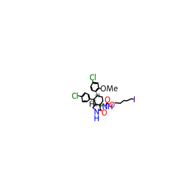 COc1cc(Cl)ccc1[C@@H]1CC[C@@]2(NC(=O)OCCCCCI)C(=O)NC[C@H]2[C@H]1c1ccc(Cl)cc1